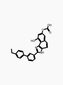 CCc1ccc(-c2cccc(-c3nc4c(ccc5cc(OC(=O)O)cc(O)c54)[nH]3)c2)cc1